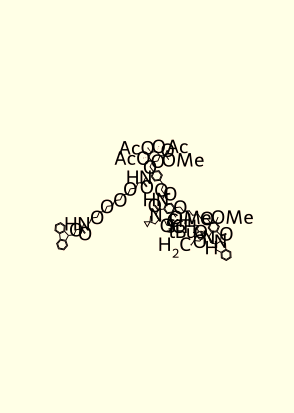 C=CCOC(=O)N1C[C@@H]2Cc3ccccc3CN2C(=O)c2cc(OC)c(OCCCCCOc3cc(NC(=O)OCc4ccc(O[C@@H]5O[C@H](C(=O)OC)[C@@H](OC(C)=O)[C@H](OC(C)=O)[C@H]5OC(C)=O)c(NC(=O)CCOCCOCCOCCOCCNC(=O)OCC5c6ccccc6-c6ccccc65)c4)c(C(=O)N4CC5(CC5)C[C@H]4CO[Si](C)(C)C(C)(C)C)cc3OC)cc21